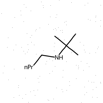 [CH2]CCCNC(C)(C)C